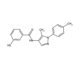 Cc1ccc(-n2ncc(NC(=O)c3cccc(S)c3)c2C)cc1